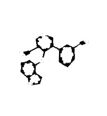 N#Cc1cccc(-c2cncc(C#N)c2Nc2cccc3[nH]ccc23)c1